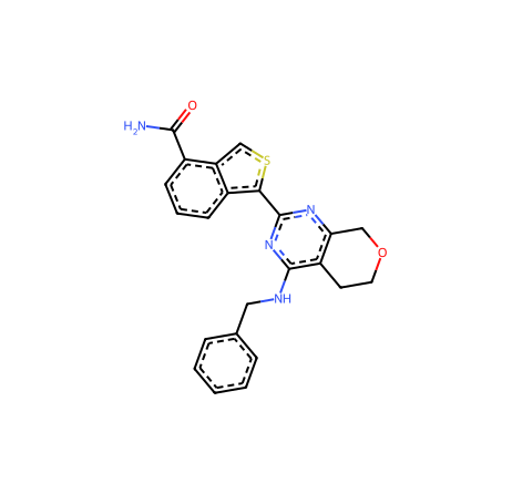 NC(=O)c1cccc2c(-c3nc4c(c(NCc5ccccc5)n3)CCOC4)scc12